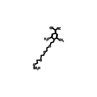 [C-]#[N+]C([N+]#[C-])=C1C=C(C)N(CCOCCOCCOCCOS(=O)(=O)O)C(C)=C1